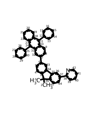 CC1(C)c2ccc(-c3ccc4c(-c5ccccc5)c5ccccc5c(-c5ccccc5)c4c3)cc2-c2cc(-c3ccccn3)ccc21